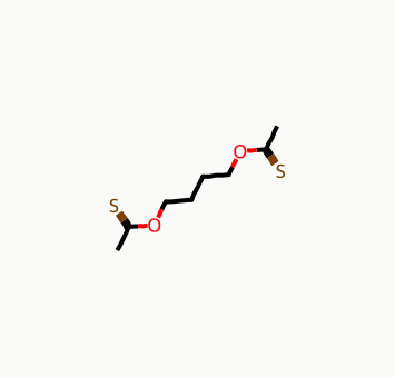 CC(=S)OCCCCOC(C)=S